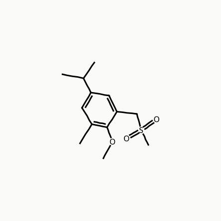 COc1c(C)cc(C(C)C)cc1CS(C)(=O)=O